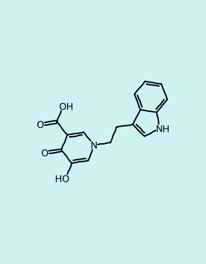 O=C(O)c1cn(CCc2c[nH]c3ccccc23)cc(O)c1=O